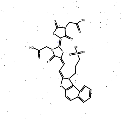 O=C(O)CN1C(=O)/C(=c2\sc(=CC=C3Sc4ccc5ccccc5c4N3CCCS(=O)(=O)O)c(=O)n2CC(=O)O)SC1=S